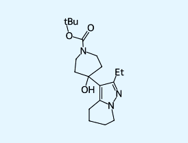 CCc1nn2c(c1C1(O)CCN(C(=O)OC(C)(C)C)CC1)CCCC2